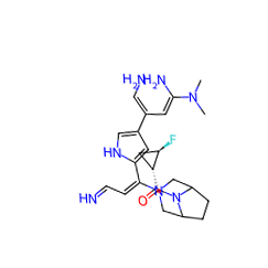 CN(C)/C(N)=C/C(=C\N)c1c[nH]c(/C(=C\C=N)N2CC3CCC(C2)N3C(=O)[C@@H]2C[C@H]2F)c1